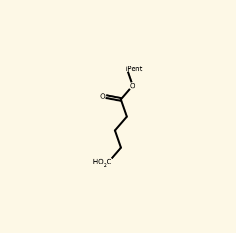 CCCC(C)OC(=O)CCCC(=O)O